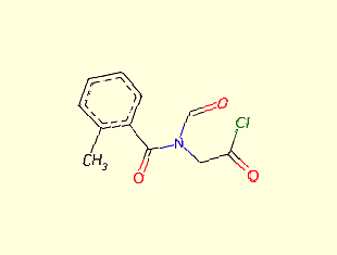 Cc1ccccc1C(=O)N(C=O)CC(=O)Cl